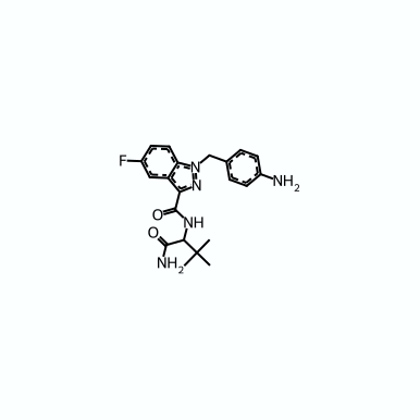 CC(C)(C)C(NC(=O)c1nn(Cc2ccc(N)cc2)c2ccc(F)cc12)C(N)=O